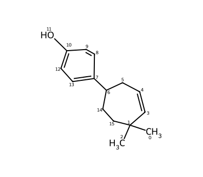 CC1(C)C=CCC(c2ccc(O)cc2)CC1